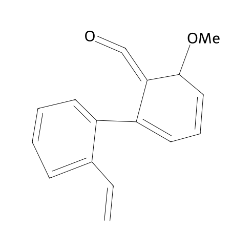 C=Cc1ccccc1C1=CC=CC(OC)C1=C=O